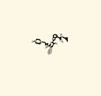 CCN1CCN(CCCNc2ncc(Br)c(-c3cc4c(C(=O)NC5CC5)cccc4s3)n2)CC1.Cl.Cl.Cl